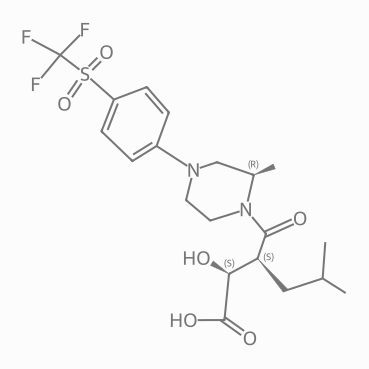 CC(C)C[C@H](C(=O)N1CCN(c2ccc(S(=O)(=O)C(F)(F)F)cc2)C[C@H]1C)[C@H](O)C(=O)O